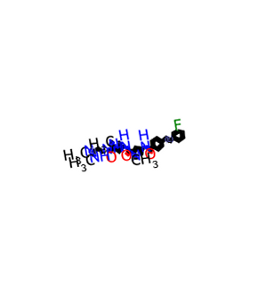 C/N=C(/CCNC(=O)c1cc(NC(=O)c2cc(NC(=O)c3ccc(/C=C/c4cccc(F)c4)cc3)cn2C)cn1C)NC